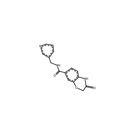 O=C1COc2cc(C(=O)NCc3cccnc3)ccc2N1